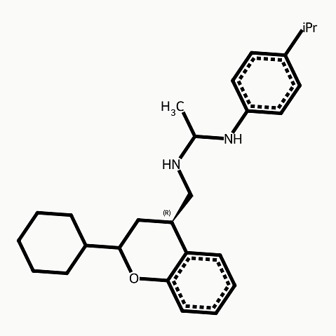 CC(NC[C@@H]1CC(C2CCCCC2)Oc2ccccc21)Nc1ccc(C(C)C)cc1